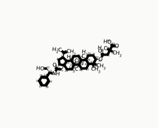 C=C(C)[C@@H]1CC[C@]2(CC(=O)N[C@@H](CO)c3ccccc3)CC[C@]3(C)[C@H](CCC4[C@@]5(C)CC[C@H](OC(=O)CC(C)(C)C(=O)O)C(C)(C)C5CC[C@]43C)C12